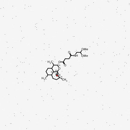 COC(CNC(=O)CCC(=O)O[C@@H]1O[C@@H]2O[C@@]3(C)CCC4C(C)CCC(C1C)[C@]42OO3)OC